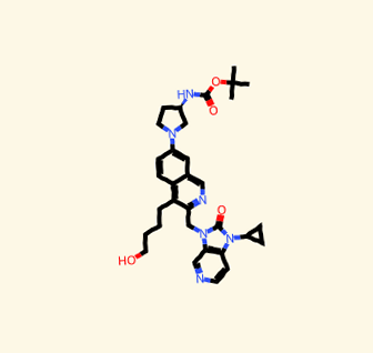 CC(C)(C)OC(=O)N[C@@H]1CCN(c2ccc3c(CCCCO)c(Cn4c(=O)n(C5CC5)c5ccncc54)ncc3c2)C1